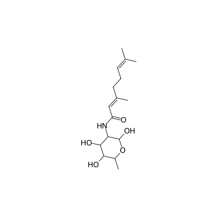 CC(C)=CCC/C(C)=C/C(=O)NC1C(O)OC(C)C(O)C1O